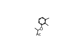 CC(=O)C(C)Oc1cccc(C)c1C